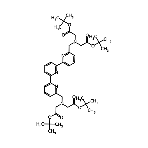 CC(C)(C)OC(=O)CN(CC(=O)OC(C)(C)C)Cc1cccc(-c2cccc(-c3cccc(CN(CC(=O)OC(C)(C)C)CC(=O)OC(C)(C)C)n3)n2)n1